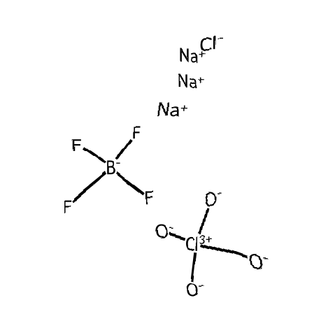 F[B-](F)(F)F.[Cl-].[Na+].[Na+].[Na+].[O-][Cl+3]([O-])([O-])[O-]